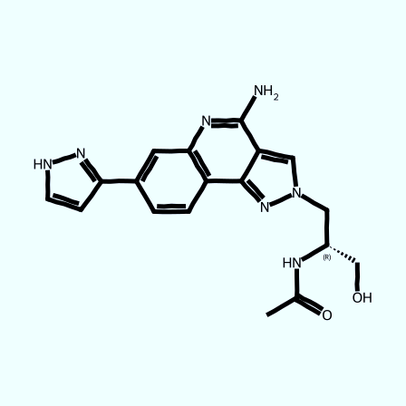 CC(=O)N[C@@H](CO)Cn1cc2c(N)nc3cc(-c4cc[nH]n4)ccc3c2n1